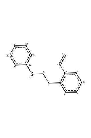 C=Cc1ccccc1CCSc1ccccc1